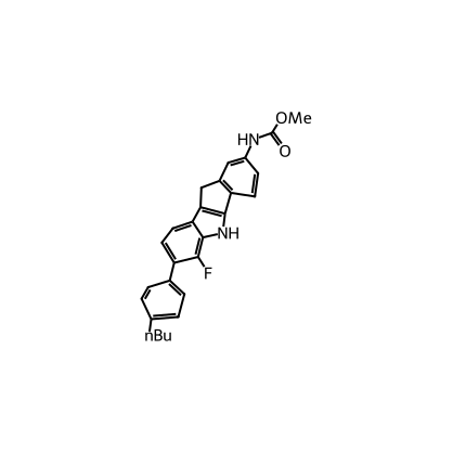 CCCCc1ccc(-c2ccc3c4c([nH]c3c2F)-c2ccc(NC(=O)OC)cc2C4)cc1